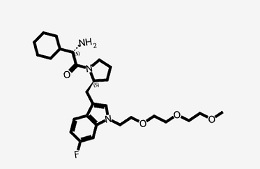 COCCOCCOCCn1cc(C[C@@H]2CCCN2C(=O)[C@@H](N)C2CCCCC2)c2ccc(F)cc21